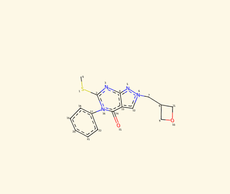 CSc1nc2nn(CC3COC3)cc2c(=O)n1-c1ccccc1